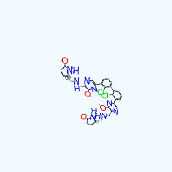 COc1nc(-c2cccc(-c3cccc(-c4cnc(CNC[C@@H]5CCC(=O)N5)c(OC)n4)c3Cl)c2Cl)cnc1CNC[C@@H]1CCC(=O)N1